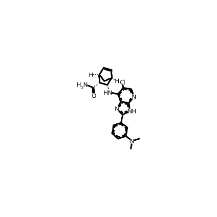 CN(C)c1cccc(-c2nc3c(N[C@@H]4[C@H](C(N)=O)[C@H]5C=C[C@@H]4C5)c(Cl)cnc3[nH]2)c1